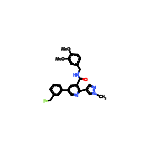 COc1ccc(CNC(=O)c2cc(-c3cccc(CF)c3)cnc2-c2cnn(C)c2)cc1OC